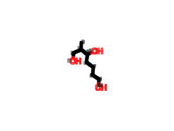 CC(CO)C(O)CCCCO